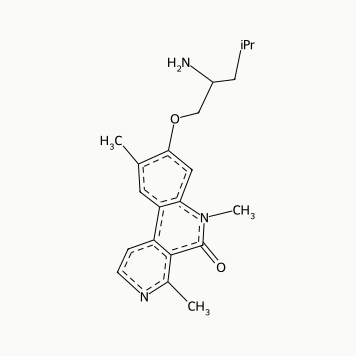 Cc1cc2c3ccnc(C)c3c(=O)n(C)c2cc1OCC(N)CC(C)C